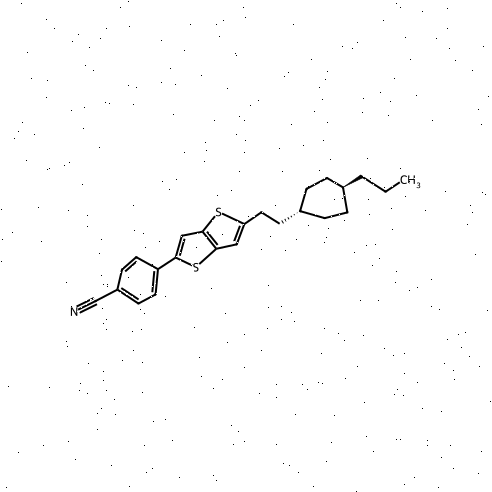 CCC[C@H]1CC[C@H](CCc2cc3sc(-c4ccc(C#N)cc4)cc3s2)CC1